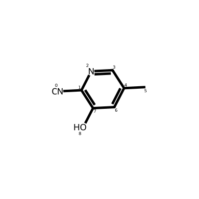 [C-]#[N+]c1ncc(C)cc1O